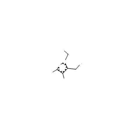 CCOC(=O)Cn1nc(C)c(Cl)c1CBr